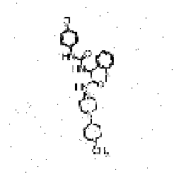 CN1CCC(N2CCN(NC(=O)C(NC(=O)Nc3ccc(Cl)cc3)c3ccccc3F)CC2)CC1